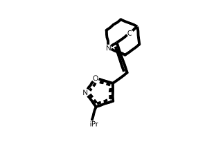 CC(C)c1cc(C=C2CC3CCN2CC3)on1